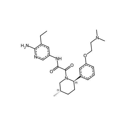 CCc1cc(NC(=O)C(=O)N2C[C@@H](C)CC[C@@H]2c2cccc(OCCN(C)C)c2)cnc1N